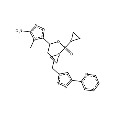 Cn1c(C(CCCn2cc(-c3ccccn3)nn2)OP(=O)(N2CC2)N2CC2)cnc1[N+](=O)[O-]